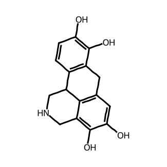 Oc1ccc2c(c1O)Cc1cc(O)c(O)c3c1C2CNC3